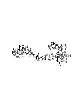 Cc1ncsc1-c1ccc([C@H](C)NC(=O)C2C[C@@H](O)CN2C(=O)[C@@H](NC(=O)C2CCC3(CC2)CCN(C(=O)CN2CCN(CCn4cc5cc(NC(=O)c6cccc(C(F)(F)F)n6)c(C(C)(C)O)cc5n4)C2=O)CC3)C(C)(C)C)cc1